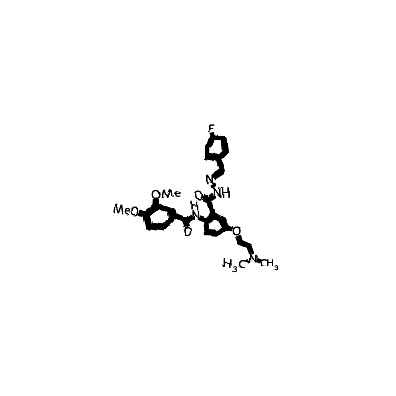 COc1ccc(C(=O)Nc2ccc(OCCN(C)C)cc2C(=O)NN=Cc2ccc(F)cc2)cc1OC